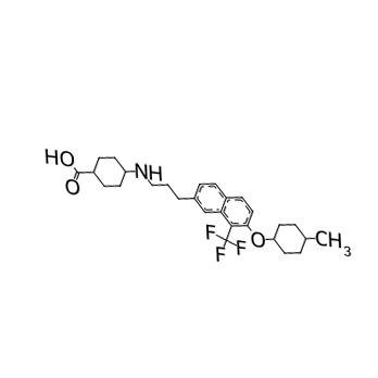 CC1CCC(Oc2ccc3ccc(CCCNC4CCC(C(=O)O)CC4)cc3c2C(F)(F)F)CC1